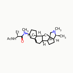 CC[C@H](NC(C)=O)C(=O)N(C)[C@H]1CC[C@@]2(C)C(=CC[C@H]3[C@@H]4CC[C@@H]5[C@H](C)N(C)C[C@@]54CC[C@@H]32)C1